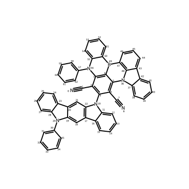 N#Cc1c2c3c(c(C#N)c1-n1c4ccccc4c4cc5c(cc41)c1ccccc1n5-c1ccccc1)-n1c4ccccc4c4cccc(c41)B3c1ccccc1N2c1ccccc1